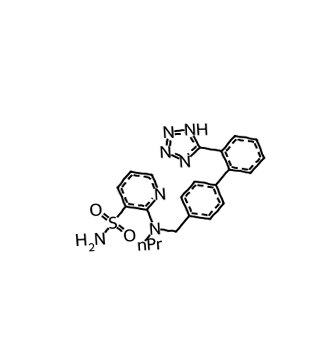 CCCN(Cc1ccc(-c2ccccc2-c2nnn[nH]2)cc1)c1ncccc1S(N)(=O)=O